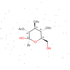 CC(=O)O[C@H]1[C@H](OC(C)=O)[C@@H](CO)O[C@](O)(C(C)C)[C@@H]1OC(C)=O